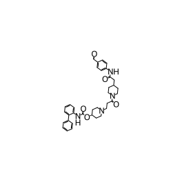 O=Cc1ccc(NC(=O)CC2CCN(C(=O)CCN3CCC(OC(=O)Nc4ccccc4-c4ccccc4)CC3)CC2)cc1